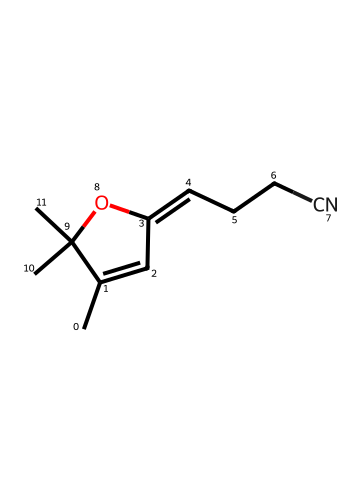 CC1=CC(=CCCC#N)OC1(C)C